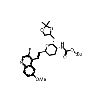 COc1ccc2ncc(F)c(C=C[C@@H]3CC[C@@H](NC(=O)OC(C)(C)C)[C@@H](CC4COC(C)(C)O4)O3)c2c1